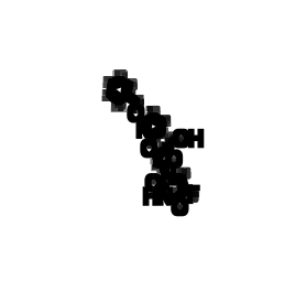 O=c1[nH]c(=O)n([C@H]2C[C@H](Oc3cccc(OCc4ccccc4)n3)[C@@H](CO)O2)cc1F